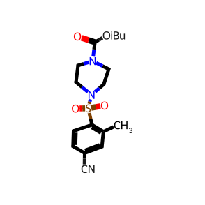 Cc1cc(C#N)ccc1S(=O)(=O)N1CCN(C(=O)OCC(C)C)CC1